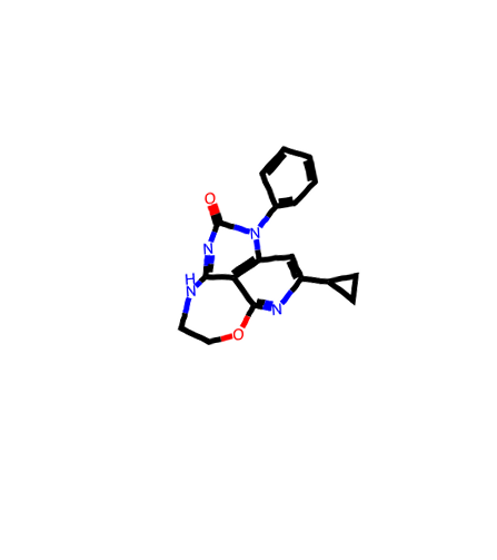 O=c1nc2c3c(nc(C4CC4)cc3n1-c1ccccc1)OCCN2